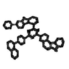 c1ccc(-c2ccc3c(c2)oc2cccc(-c4nc(-c5ccc(-c6cccc7ccccc67)cc5)nc(-c5ccc6c(ccc7oc8ccccc8c76)c5)n4)c23)cc1